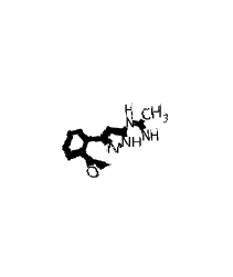 CC(=N)Nc1cc(-c2ccccc2C2CO2)n[nH]1